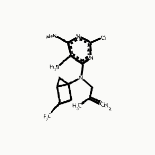 Bc1c(NC)nc(Cl)nc1N(CC(=C)C)C12CC(C(F)(F)F)C1C2